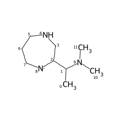 CC(C1CNCCC[N]1)N(C)C